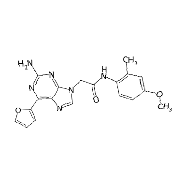 COc1ccc(NC(=O)Cn2cnc3c(-c4ccco4)nc(N)nc32)c(C)c1